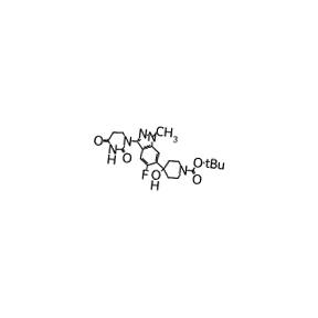 Cn1nc(N2CCC(=O)NC2=O)c2cc(F)c(C3(O)CCN(C(=O)OC(C)(C)C)CC3)cc21